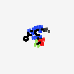 FC(F)(F)c1n[nH]c(-c2nc3ncc(C4CCCC4)cn3c2-c2cnc[nH]2)n1.O=C(O)C(F)(F)F